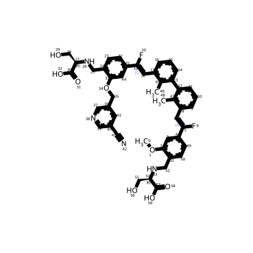 COc1cc(/C(F)=C/c2cccc(-c3cccc(/C=C(\F)c4ccc(CN[C@H](CO)C(=O)O)c(OCc5cncc(C#N)c5)c4)c3C)c2C)ccc1CN[C@H](CO)C(=O)O